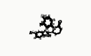 O=C1CCC[C@@H](c2nc3cc(Br)ccc3[nH]2)N1c1ccc(F)c(F)c1